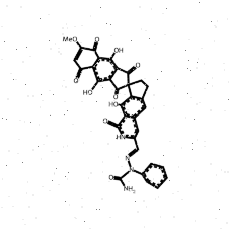 COC1=CC(=O)c2c(O)c3c(c(O)c2C1=O)C(=O)C1(CCc2cc4cc(C=NN(C(N)=O)c5ccccc5)[nH]c(=O)c4c(O)c21)C3=O